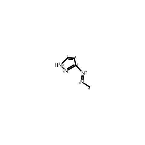 CN=Nc1cc[nH]n1